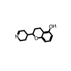 Oc1cccc2c1CCC(C1CC=NCC1)O2